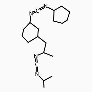 CC(C)N=C=NC(C)CC1CCCC(N=C=NC2CCCCC2)C1